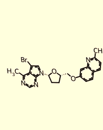 Cc1ccc2ccc(OC[C@@H]3CC[C@H](n4cc(Br)c5c(C)ncnc54)O3)cc2n1